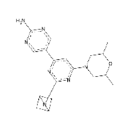 CC1CN(c2cc(-c3cnc(N)nc3)nc(N3CC4CC3C4)n2)CC(C)O1